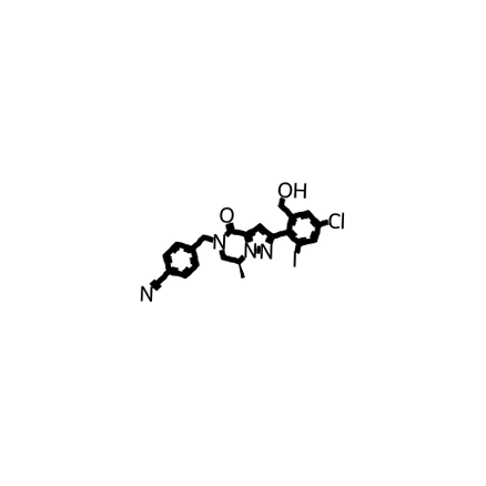 C[C@H]1CN(Cc2ccc(C#N)cc2)C(=O)c2cc(-c3c(I)cc(Cl)cc3CO)nn21